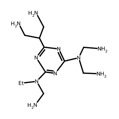 CCN(CN)c1nc(C(CN)CN)nc(N(CN)CN)n1